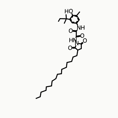 CCCCCCCCCCCCCCCCC1CC(=O)N(NC(=O)C(=O)Nc2cc(C)c(O)c(C(C)(C)CC)c2)C1=O